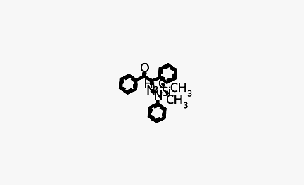 C[Si](C)(C)N(N=C(C(=O)c1ccccc1)c1ccccc1)c1ccccc1